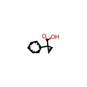 O=C(O)C1(c2ccccc2)C=C1